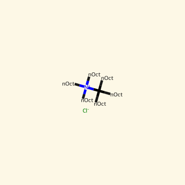 CCCCCCCCC(CCCCCCCC)(CCCCCCCC)[N+](CCCCCCCC)(CCCCCCCC)CCCCCCCC.[Cl-]